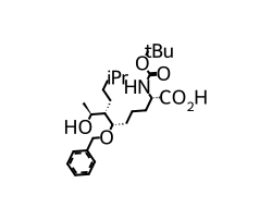 CC(C)CC[C@@H]([C@H](C)O)[C@H](CCC[C@H](NC(=O)OC(C)(C)C)C(=O)O)OCc1ccccc1